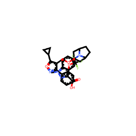 Cn1nc(C(=O)O)c2cc(N3C4CCC3CC(OCc3c(-c5ccccc5OC(F)(F)F)noc3C3CC3)C4)ccc21